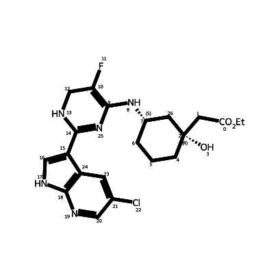 CCOC(=O)C[C@@]1(O)CCC[C@H](NC2=C(F)CNC(c3c[nH]c4ncc(Cl)cc34)=N2)C1